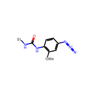 CCNC(=O)Nc1ccc(N=[N+]=[N-])cc1OC